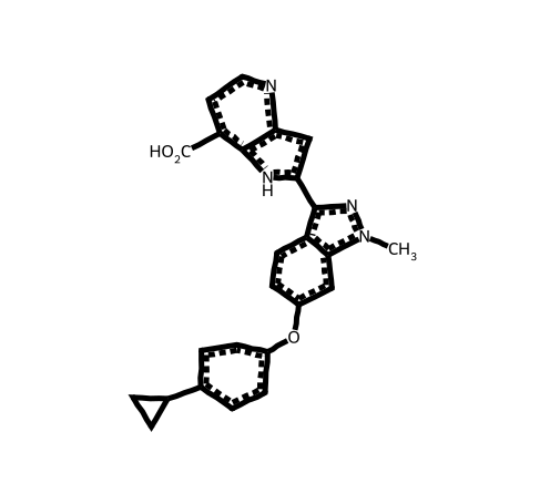 Cn1nc(-c2cc3nccc(C(=O)O)c3[nH]2)c2ccc(Oc3ccc(C4CC4)cc3)cc21